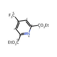 CCOC(=O)c1cc(C(F)(F)F)cc(C(=O)OCC)n1